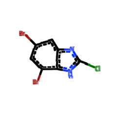 Clc1nc2cc(Br)cc(Br)c2[nH]1